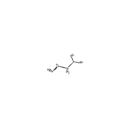 CCCCO[SiH2]C(CCCC)CCCC